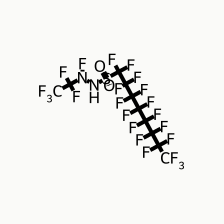 O=S(=O)(NN(F)C(F)(F)C(F)(F)F)C(F)(F)C(F)(F)C(F)(F)C(F)(F)C(F)(F)C(F)(F)C(F)(F)C(F)(F)F